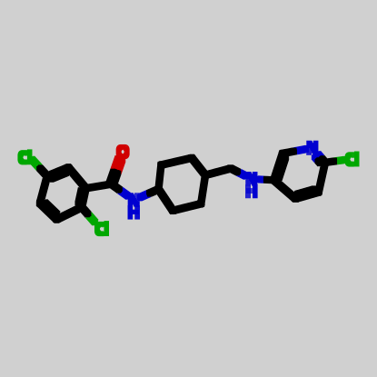 O=C(NC1CCC(CNc2ccc(Cl)nc2)CC1)c1cc(Cl)ccc1Cl